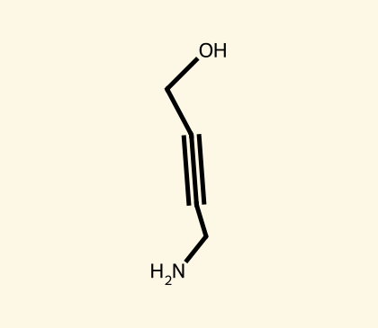 NCC#CCO